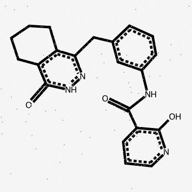 O=C(Nc1cccc(Cc2n[nH]c(=O)c3c2CCCC3)c1)c1cccnc1O